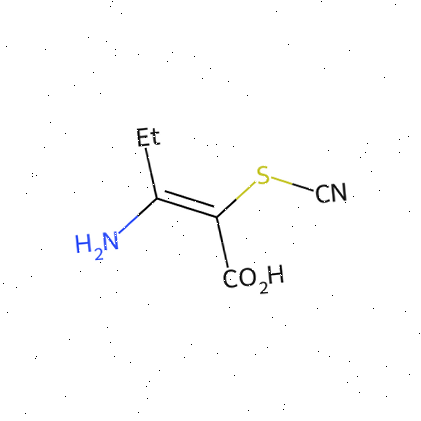 CC/C(N)=C(\SC#N)C(=O)O